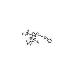 CNCc1ccc(OCCCCOCc2ccccc2)nc1NC(=O)C(C)(C)C